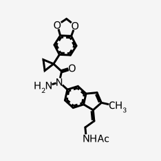 CC(=O)NC/C=C1/C(C)=Cc2cc(N(N)C(=O)C3(c4ccc5c(c4)OCO5)CC3)ccc21